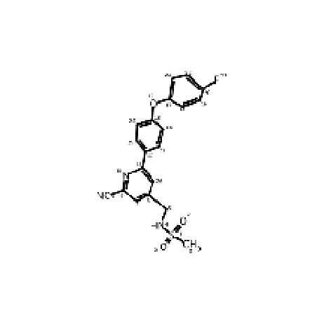 CS(=O)(=O)NCc1cc(C#N)nc(-c2ccc(Oc3ccc(F)cc3)cc2)c1